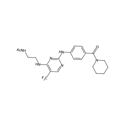 CC(=O)NCCNc1nc(Nc2ccc(C(=O)N3CCCCC3)cc2)ncc1C(F)(F)F